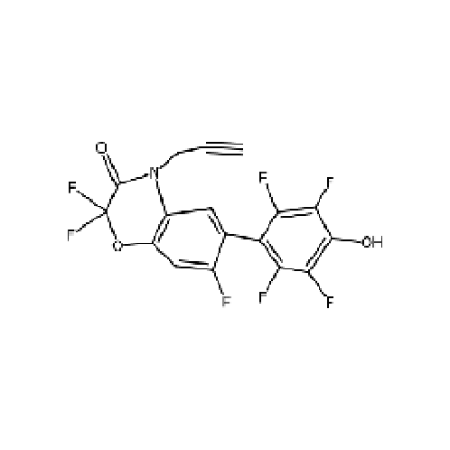 C#CCN1C(=O)C(F)(F)Oc2cc(F)c(-c3c(F)c(F)c(O)c(F)c3F)cc21